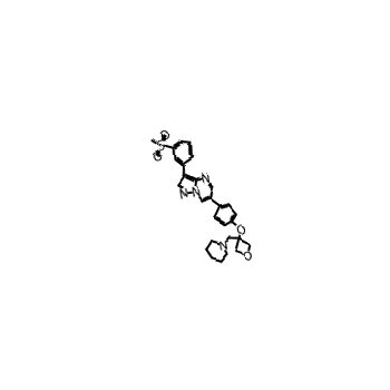 CS(=O)(=O)c1cccc(-c2cnn3cc(-c4ccc(OC5(CN6CCCCC6)COC5)cc4)cnc23)c1